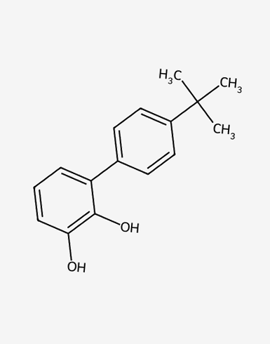 CC(C)(C)c1ccc(-c2cccc(O)c2O)cc1